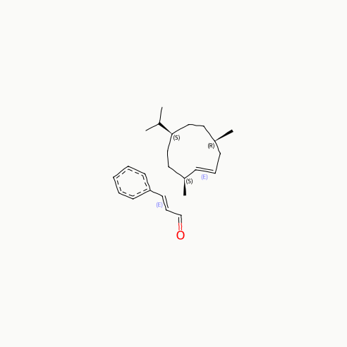 CC(C)[C@H]1CC[C@@H](C)C/C=C/[C@@H](C)CC1.O=C/C=C/c1ccccc1